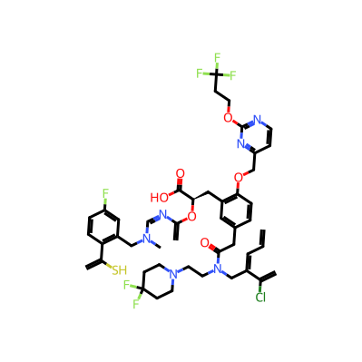 C=C/C=C(/CN(CCN1CCC(F)(F)CC1)C(=O)Cc1ccc(OCc2ccnc(OCCC(F)(F)F)n2)c(C[C@@H](OC(=C)/N=C\N(C)Cc2cc(F)ccc2C(=C)S)C(=O)O)c1)C(=C)Cl